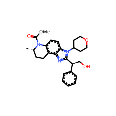 COC(=O)N1c2ccc3c(nc([C@@H](CO)c4ccccc4)n3C3CCOCC3)c2CC[C@@H]1C